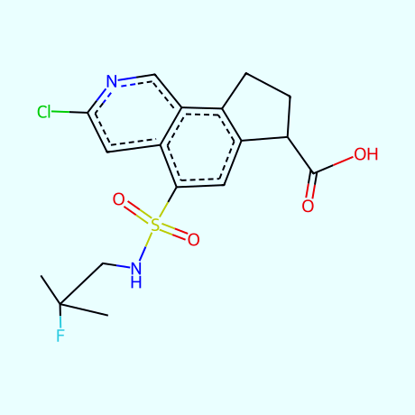 CC(C)(F)CNS(=O)(=O)c1cc2c(c3cnc(Cl)cc13)CCC2C(=O)O